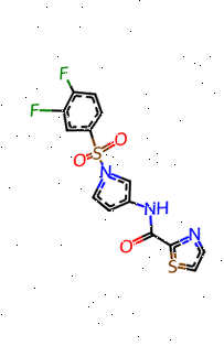 O=C(Nc1ccn(S(=O)(=O)c2ccc(F)c(F)c2)c1)c1nccs1